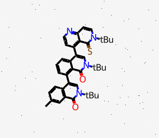 Cc1ccc2c(-c3cccc4c(-c5ccnc6ccn(C(C)(C)C)c(=S)c56)cn(C(C)(C)C)c(=O)c34)cn(C(C)(C)C)c(=O)c2c1